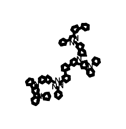 c1ccc(-c2cccc(-c3cc(-c4ccccc4)nc(-c4ccc5ccc(-n6c7ccc(-c8cccc(-c9cccc(-c%10nc(-c%11ccccc%11)nc(-c%11ccc%12ccc(-n%13c%14ccccc%14c%14cc%15c%16ccccc%16n(-c%16ccccc%16)c%15cc%14%13)cc%12c%11)n%10)c9)c8)cc7c7cc8c9ccccc9n(-c9ccccc9)c8cc76)cc5c4)n3)c2)cc1